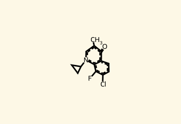 Cc1cn(C2CC2)c2c(F)c(Cl)ccc2c1=O